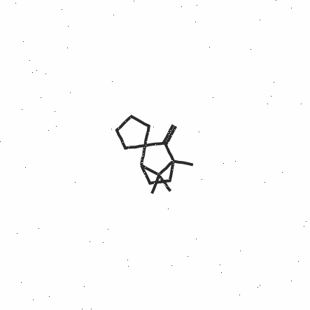 C=C1C2(CCCC2)C2CCC1(C)C2(C)C